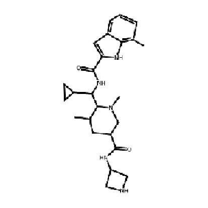 Cc1cccc2cc(C(=O)NC(C3CC3)C3C(C)CC(C(=O)NC4CNC4)CN3C)[nH]c12